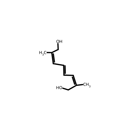 CC(=CC=CC=C(C)CO)CO